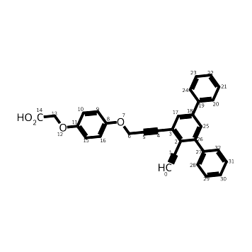 C#Cc1c(C#CCOc2ccc(OCC(=O)O)cc2)cc(-c2ccccc2)cc1-c1ccccc1